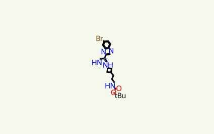 CC(C)(C)OC(=O)NCCCC1CC(N/C=C(\C=N)c2cnc3ccc(Br)cc3n2)C1